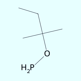 CCC(C)(C)OP